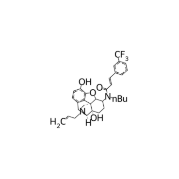 C=CCN1CC[C@]23c4c5ccc(O)c4OC2C(N(CCCC)C(=O)/C=C/c2cccc(C(F)(F)F)c2)CC[C@@]3(O)[C@H]1C5